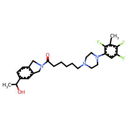 Cc1c(F)c(F)cc(N2CCN(CCCCCC(=O)N3Cc4ccc(C(C)O)cc4C3)CC2)c1F